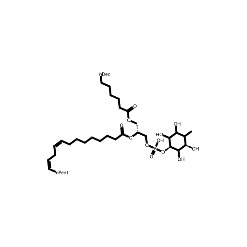 CCCCC/C=C\C/C=C\CCCCCCCC(=O)O[C@H](COC(=O)CCCCCCCCCCCCCCC)COP(=O)(O)O[C@H]1C(O)C(O)C(C)[C@@H](O)C1O